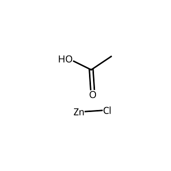 CC(=O)O.[Cl][Zn]